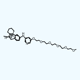 COCCOCCOCCOCCOCCOc1cncc(Nc2ccc3c(c2)[C@@]24CCCC[C@H]2[C@@H](C3)N(C)CC4)c1